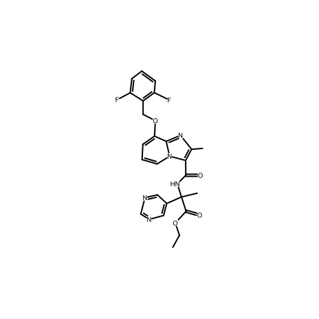 CCOC(=O)C(C)(NC(=O)c1c(C)nc2c(OCc3c(F)cccc3F)cccn12)c1cncnc1